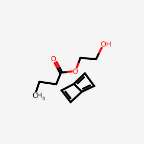 CCCC(=O)OCCO.c1cc2ccc1-2